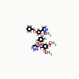 COc1ccc(CN(c2ccncn2)S(=O)(=O)c2cc(F)c(OC3CC(OCc4ccccc4)CC3c3ccnn3C)cc2F)c(OC)c1